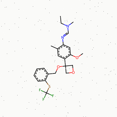 CCN(C)C=Nc1cc(OC)c(C2(OCc3ccccc3SC(F)(F)F)COC2)cc1C